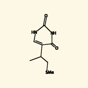 CSCC(C)c1c[nH]c(=O)[nH]c1=O